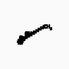 CCCCCCCCCCCCCCCC(CO)CCOC(=O)N1CCCCC1